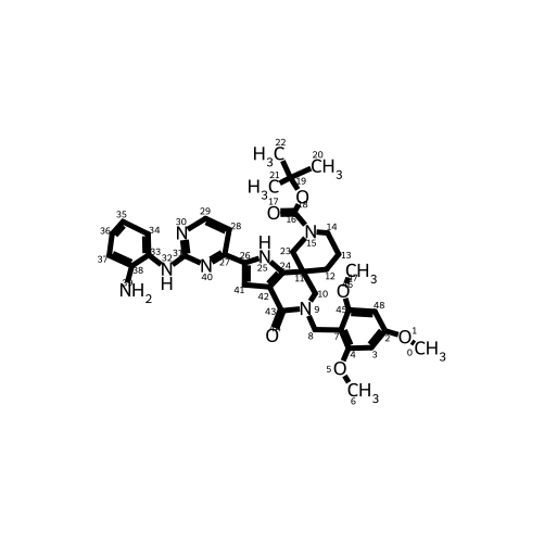 COc1cc(OC)c(CN2CC3(CCCN(C(=O)OC(C)(C)C)C3)c3[nH]c(-c4ccnc(Nc5ccccc5N)n4)cc3C2=O)c(OC)c1